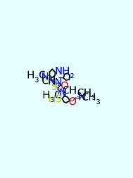 C/C(=C1\SC(=Nc2cc(N)ccc2N(C)C)N(Cc2ccccc2)C1=O)N(C)c1cc(OCCN(C)C)ccc1S